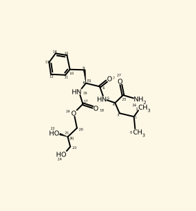 CC(C)CC(NC(=O)[C@H](Cc1ccccc1)NC(=O)OC[C@H](O)CO)C(N)=O